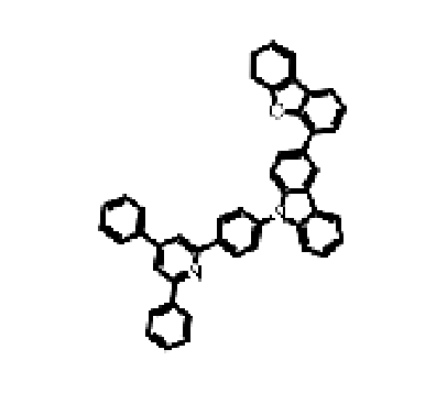 C1=Cc2c(oc3c(-c4ccc5c(c4)c4ccccc4n5-c4ccc(-c5cc(-c6ccccc6)cc(-c6ccccc6)n5)cc4)cccc23)CC1